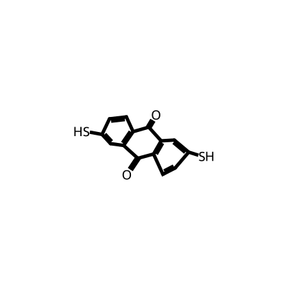 O=C1c2ccc(S)cc2C(=O)c2ccc(S)cc21